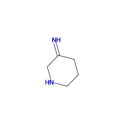 N=C1CCCNC1